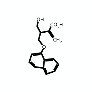 C=C(C(=O)O)C(CO)COc1cccc2ccccc12